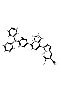 N#CC(=Cc1ccc(C2=CC=C(c3ccc(N(c4ccccc4)c4ccccc4)cc3)N3SNC=C23)s1)C(=O)O